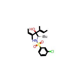 CC=C(C)C(O)(C(C)=CC)[C@@H](NS(=O)(=O)c1cccc(Cl)c1)[C@@H](C)CC